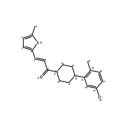 Cc1ccc(C=CC(=O)N2CCN(c3cc(Cl)ccc3C)CC2)s1